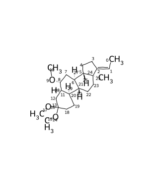 CC=C1CC[C@H]2[C@@H]3C[C@@H](OC)[C@@H]4CC(OC)(OC)CC[C@@H]4[C@H]3CC[C@]12C